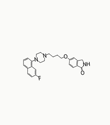 O=C1NCc2cc(OCCCCN3CCN(c4cccc5ccc(F)cc45)CC3)ccc21